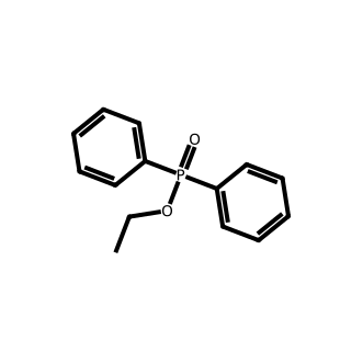 CCOP(=O)(c1ccccc1)c1ccccc1